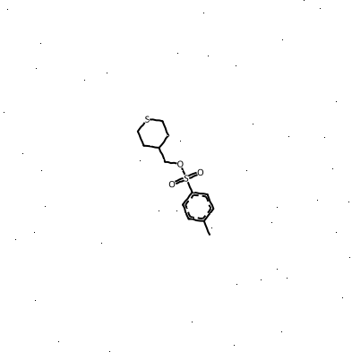 Cc1ccc(S(=O)(=O)OCC2CCSCC2)cc1